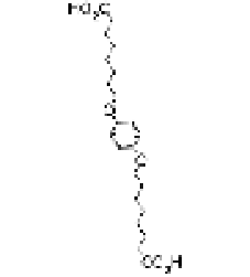 O=C(O)CCCCCCCOc1ccc(OCCCCCCCC(=O)O)cc1